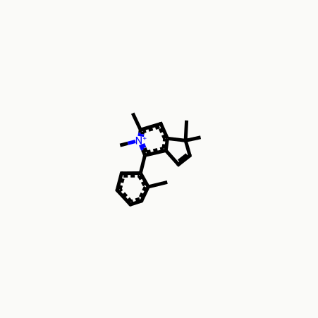 Cc1ccccc1-c1c2c(cc(C)[n+]1C)C(C)(C)C=C2